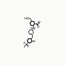 O=[N+]([O-])c1cc(CO)ccc1NC1CCCN(Cc2ccc(C(F)(F)F)cc2F)C1